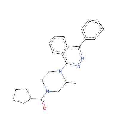 CC1CN(C(=O)C2CCCC2)CCN1c1nnc(-c2ccccc2)c2ccccc12